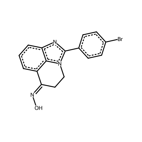 O/N=C1\CCn2c(-c3ccc(Br)cc3)nc3cccc1c32